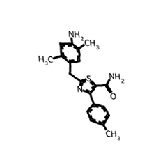 Cc1ccc(-c2nc(Cc3cc(C)c(N)cc3C)sc2C(N)=O)cc1